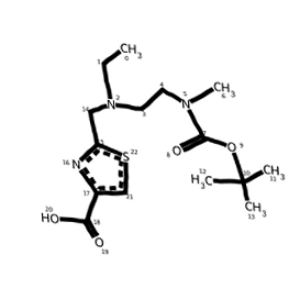 CCN(CCN(C)C(=O)OC(C)(C)C)Cc1nc(C(=O)O)cs1